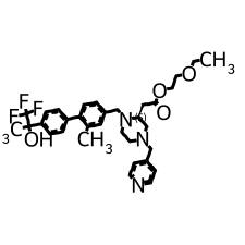 CCOCCOC(=O)C[C@H]1CN(Cc2ccncc2)CCN1Cc1ccc(-c2ccc(C(C)(O)C(F)(F)F)cc2)c(C)c1